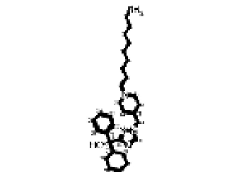 NCCCCCCCCCN1CCC(Cn2cnc([C@](O)(c3ccccc3)C3CCCCC3)n2)CC1